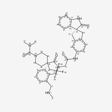 CNCc1ccccc1CN(CC(=O)Nc1ccc2c(c1)C[C@@]1(C2)C(=O)Nc2ncccc21)C(=O)C1(CC(F)(F)F)CCN(C(=O)N(C)C)CC1